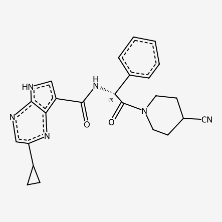 N#CC1CCN(C(=O)[C@H](NC(=O)c2c[nH]c3ncc(C4CC4)nc23)c2ccccc2)CC1